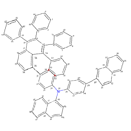 c1ccc(-c2c(-c3ccccc3)c(-c3ccccc3)c3c(-c4ccc(N(c5ccc(-c6ccc7ccccc7c6)cc5)c5cccc6ccccc56)cc4)cccc3c2-c2ccccc2)cc1